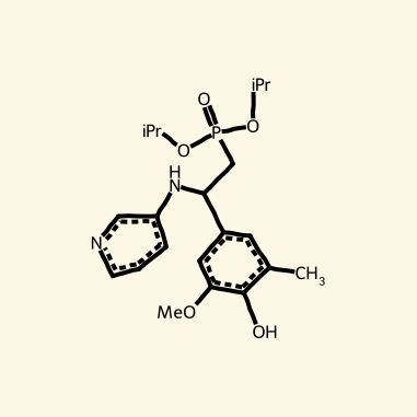 COc1cc(C(CP(=O)(OC(C)C)OC(C)C)Nc2cccnc2)cc(C)c1O